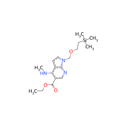 CCOC(=O)c1cnc2c(ccn2COCC[Si](C)(C)C)c1NC